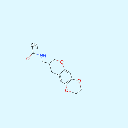 CC(=O)NCC1COc2cc3c(cc2C1)OCCO3